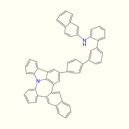 c1cc(-c2ccc(-c3cc4c5c(c3)c3ccccc3n5-c3ccccc3-c3cc5ccccc5cc3-4)cc2)cc(-c2ccccc2Nc2ccc3ccccc3c2)c1